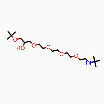 CC(C)(C)NCCOCCOCCOCCOCC(O)COC(C)(C)C